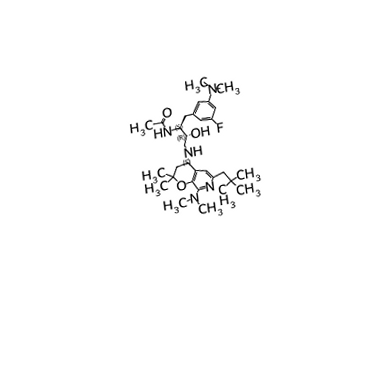 CC(=O)N[C@@H](Cc1cc(F)cc(N(C)C)c1)[C@H](O)CN[C@H]1CC(C)(C)Oc2c1cc(CC(C)(C)C)nc2N(C)C